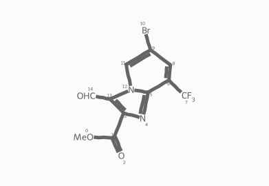 COC(=O)c1nc2c(C(F)(F)F)cc(Br)cn2c1C=O